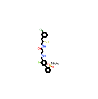 CC(=O)NS(=O)(=O)c1ccccc1-c1ccc(CNCCC(=O)NC[C@H](S)Cc2cccc(Cl)c2)c(F)c1